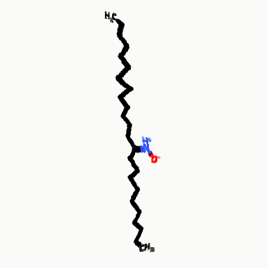 CCCCCCCCCCCCCC(CCCCCCCCCC)=[NH+][O-]